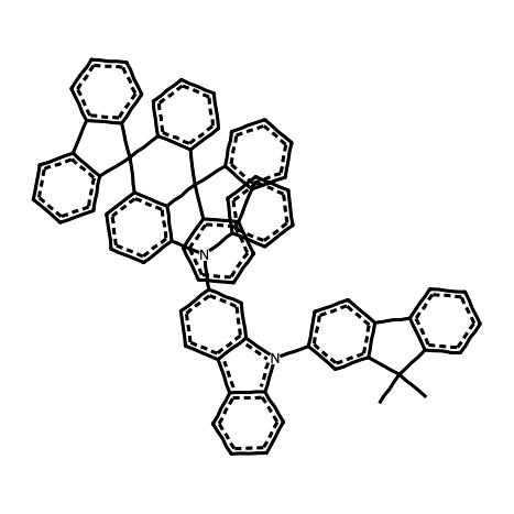 CC1(C)c2ccccc2-c2ccc(-n3c4ccccc4c4ccc(N(c5ccccc5)c5cccc6c5C5(c7ccccc7-c7ccccc75)c5ccccc5C65c6ccccc6-c6ccccc65)cc43)cc21